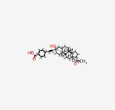 CC(=O)[C@H]1CC[C@H]2[C@@H]3CCC4CC(O)(C#Cc5ccc(C(=O)O)cc5)CC[C@]4(C)[C@H]3CC[C@]12C